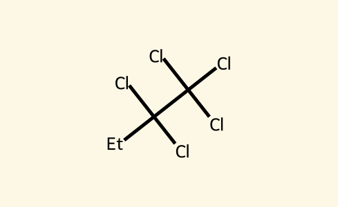 [CH2]CC(Cl)(Cl)C(Cl)(Cl)Cl